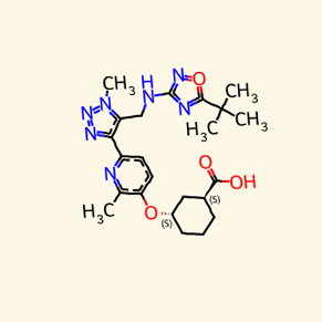 Cc1nc(-c2nnn(C)c2CNc2noc(C(C)(C)C)n2)ccc1O[C@H]1CCC[C@H](C(=O)O)C1